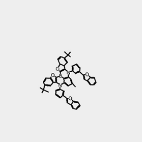 Cc1cc2c3c(c1)N(c1cccc(-c4cc5ccccc5o4)c1)c1c(oc4ccc(C(C)(C)C)cc14)B3C1=C(C3C=C(C(C)(C)C)C=CC3O1)N2c1cccc(-c2cc3ccccc3o2)c1